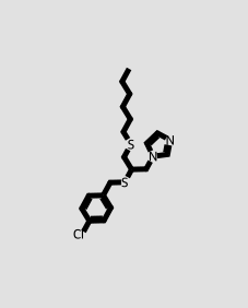 CCCCCCSCC(Cn1ccnc1)SCc1ccc(Cl)cc1